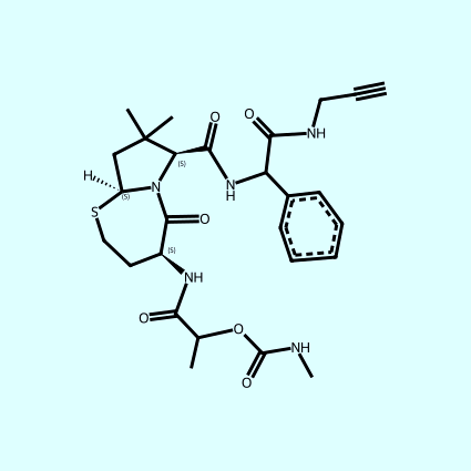 C#CCNC(=O)C(NC(=O)[C@H]1N2C(=O)[C@@H](NC(=O)C(C)OC(=O)NC)CCS[C@H]2CC1(C)C)c1ccccc1